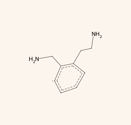 NCCc1ccc[c]c1CN